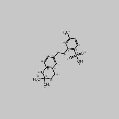 Cc1ccc(S(=O)(=O)O)c(CCc2ccc3c(c2)CCC(C)(C)O3)c1